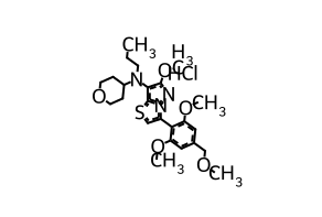 CCCN(c1c(OC)nn2c(-c3c(OC)cc(COC)cc3OC)csc12)C1CCOCC1.Cl